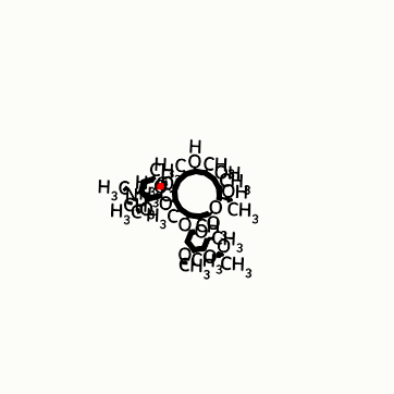 CC[C@H]1OC(=O)[C@H](C)[C@@H](O[C@H]2C[C@@](C)(OC)[C@@H](OC(C)=O)[C@H](C)O2)[C@H](C)[C@@H](O[C@@H]2O[C@H](C)C[C@H](N(C)C)[C@H]2OC)[C@@](C)(OC)C[C@@H](C)[C@H](O)[C@H](C)[C@@H](O)[C@]1(C)O